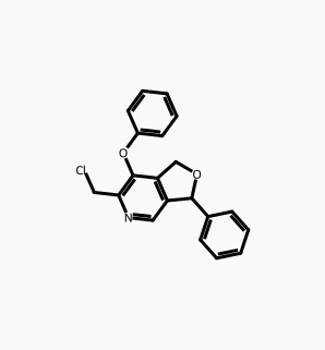 ClCc1ncc2c(c1Oc1ccccc1)COC2c1ccccc1